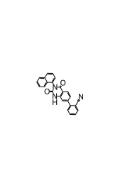 N#Cc1ccccc1-c1ccc2c(=O)n(-c3cccc4ccccc34)c(=O)[nH]c2c1